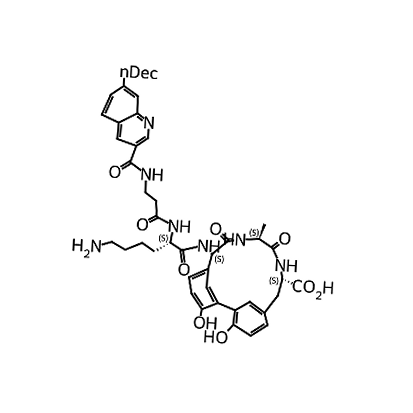 CCCCCCCCCCc1ccc2cc(C(=O)NCCC(=O)N[C@@H](CCCCN)C(=O)N[C@@H]3C(=O)N[C@@H](C)C(=O)N[C@H](C(=O)O)Cc4ccc(O)c(c4)-c4cc3ccc4O)cnc2c1